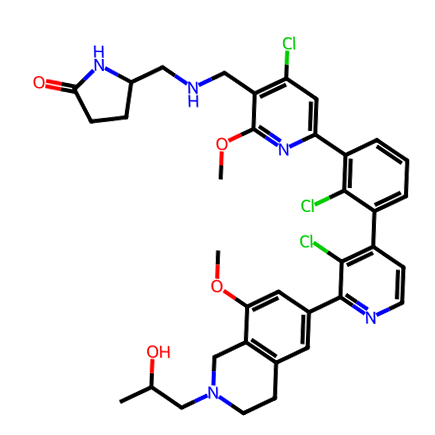 COc1cc(-c2nccc(-c3cccc(-c4cc(Cl)c(CNCC5CCC(=O)N5)c(OC)n4)c3Cl)c2Cl)cc2c1CN(CC(C)O)CC2